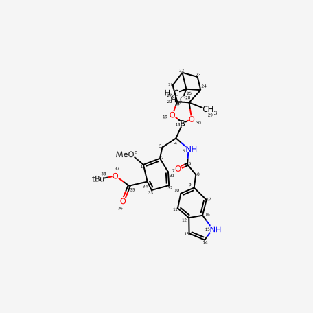 COc1c(CC(NC(=O)Cc2ccc3cc[nH]c3c2)B2OC3CC4CC(C4(C)C)C3(C)O2)cccc1C(=O)OC(C)(C)C